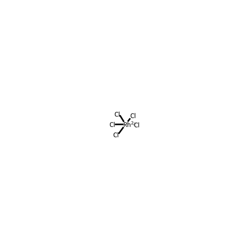 [Cl][Rh-2]([Cl])([Cl])([Cl])[Cl]